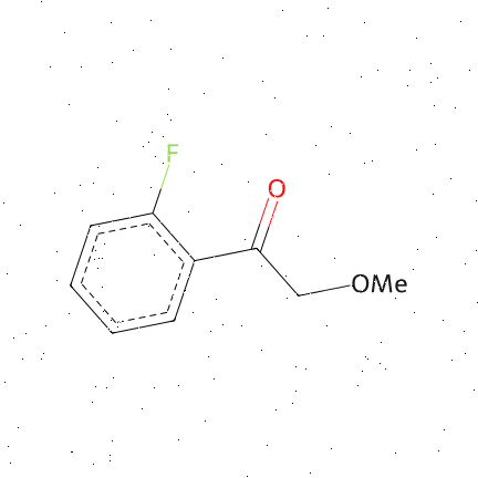 COCC(=O)c1ccccc1F